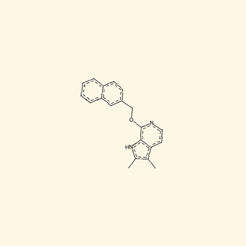 Cc1[nH]c2c(OCc3ccc4ccccc4c3)nccc2c1C